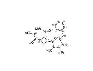 COC(=O)[C@@H]1[C@@H](C(=O)N(C)[C@H](C(=O)OCc2ccccc2)C(C)C)CN1C(=O)OC(C)(C)C